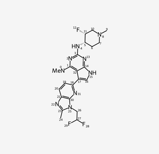 CNc1nc(N[C@H]2CCN(C)C[C@H]2F)nc2[nH]cc(-c3ccc4nc(C)n(CC(F)F)c4n3)c12